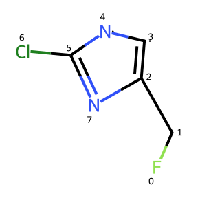 FCC1=[C][N]C(Cl)=N1